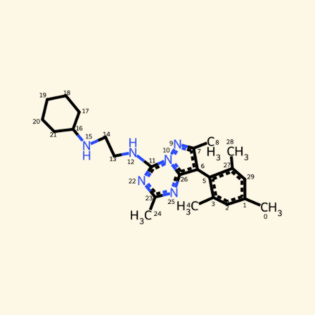 Cc1cc(C)c(-c2c(C)nn3c(NCCNC4CCCCC4)nc(C)nc23)c(C)c1